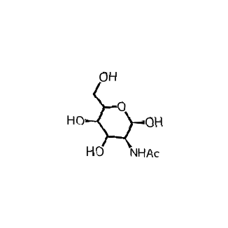 CC(=O)N[C@H]1C(O)[C@@H](O)C(CO)O[C@H]1O